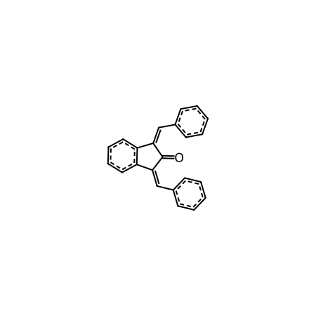 O=C1C(=Cc2ccccc2)c2ccccc2C1=Cc1ccccc1